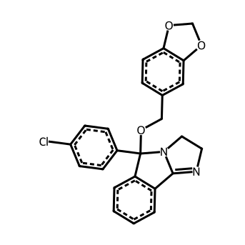 Clc1ccc(C2(OCc3ccc4c(c3)OCO4)c3ccccc3C3=NCCN32)cc1